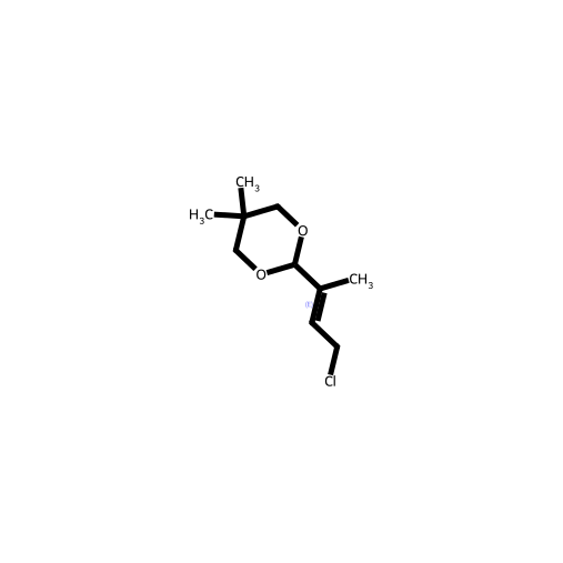 C/C(=C\CCl)C1OCC(C)(C)CO1